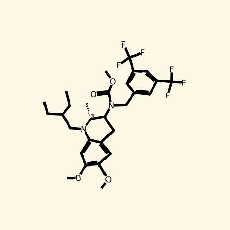 CCC(CC)CN1c2cc(OC)c(OC)cc2CC(N(Cc2cc(C(F)(F)F)cc(C(F)(F)F)c2)C(=O)OC)[C@H]1C